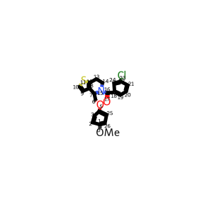 COc1ccc(OCC2c3ccsc3CCN2C(=O)c2cccc(Cl)c2)cc1